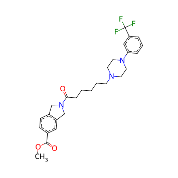 COC(=O)c1ccc2c(c1)CN(C(=O)CCCCCN1CCN(c3cccc(C(F)(F)F)c3)CC1)C2